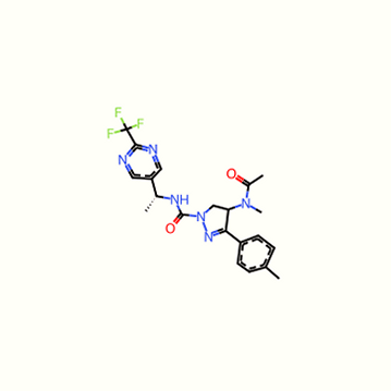 CC(=O)N(C)C1CN(C(=O)N[C@H](C)c2cnc(C(F)(F)F)nc2)N=C1c1ccc(C)cc1